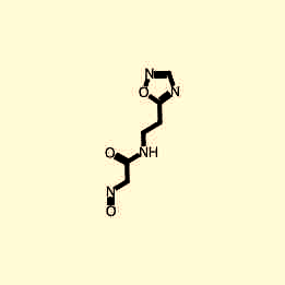 O=NCC(=O)NCCc1ncno1